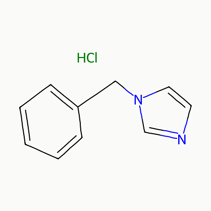 Cl.c1ccc(Cn2ccnc2)cc1